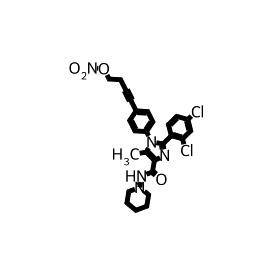 Cc1c(C(=O)NN2CCCCC2)nc(-c2ccc(Cl)cc2Cl)n1-c1ccc(C#CCCO[N+](=O)[O-])cc1